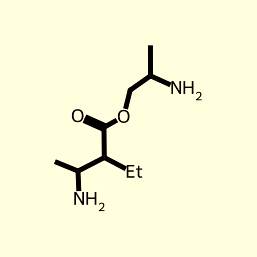 CCC(C(=O)OCC(C)N)C(C)N